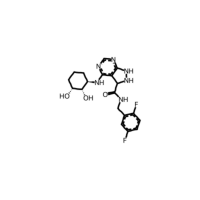 O=C(NCc1cc(F)ccc1F)C1NNc2ncnc(N[C@@H]3CCC[C@@H](O)[C@H]3O)c21